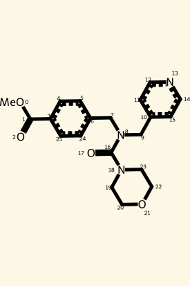 COC(=O)c1ccc(CN(Cc2ccncc2)C(=O)N2CCOCC2)cc1